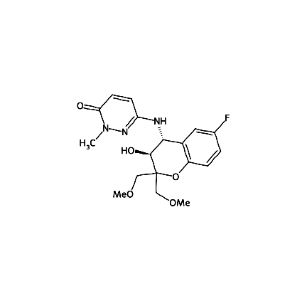 COCC1(COC)Oc2ccc(F)cc2[C@@H](Nc2ccc(=O)n(C)n2)[C@@H]1O